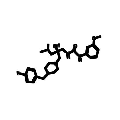 COc1cccc(NC(=O)NCC(O)(CC(C)C)CN2CCC(Cc3ccc(F)cc3)CC2)c1